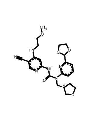 COCCNc1cc(NC(=O)N(C[C@H]2CCOC2)c2cccc(C3OCCO3)n2)ncc1C#N